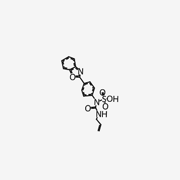 C=CCNC(=O)N(c1ccc(-c2nc3ccccc3o2)cc1)S(=O)(=O)O